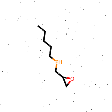 CCCCCPCC1CO1